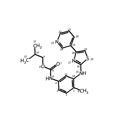 Cc1ccc(NC(=O)OCC(C)C)cc1Nc1nc(-c2cccnc2)cs1